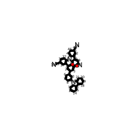 N#Cc1cc(-c2cccc(-n3c4ccccc4c4ccccc43)c2)cc(-c2cc(C#N)ccc2-n2c3ccccc3c3cc(C#N)ccc32)c1